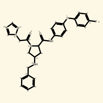 O=C(Nc1ccc(Oc2ccc(F)cc2)cc1)C1CC(NCc2ccccc2)CN1C(=O)Cn1cncn1